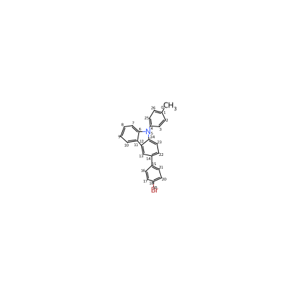 Cc1ccc(-n2c3ccccc3c3cc(-c4ccc(Br)cc4)ccc32)cc1